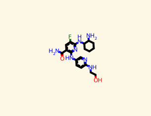 NC(=O)c1cc(F)c(NC2CCCCC2N)nc1Nc1ccc(NCCO)nc1